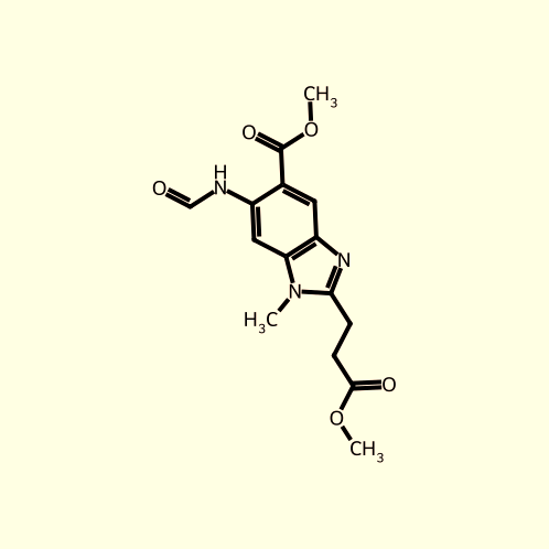 COC(=O)CCc1nc2cc(C(=O)OC)c(NC=O)cc2n1C